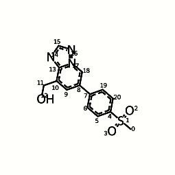 CS(=O)(=O)c1ccc(-c2cc(CO)c3ncnn3c2)cc1